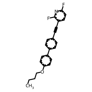 CCCCOc1ccc(-c2ccc(C#Cc3ccc(F)nc3F)cc2)cc1